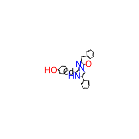 O=c1c(Cc2ccccc2)nc2[c]([Cd][c]3ccc(O)cc3)[nH]c(-c3ccccc3)cn1-2